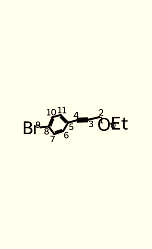 CCOCC#Cc1ccc(Br)cc1